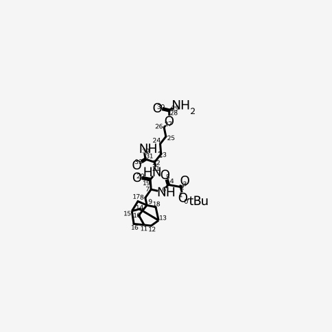 CC(C)(C)OC(=O)C(=O)NC(CC12CC3CC(CC(C3)C1)C2)C(=O)NC(CCCCOC(N)=O)C(N)=O